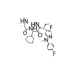 CC[C@H](C(=N)C(=O)[C@@H](NC(=O)[C@H](C)NC)C1CCCCC1)c1cc(N(C)c2ccc(F)cc2)ncc1F